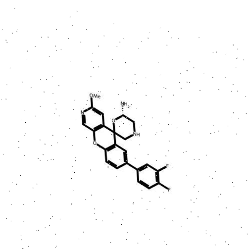 COc1cc2c(cn1)Oc1ccc(-c3ccc(F)c(F)c3)cc1C21CNC[C@@H](N)O1